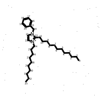 CCCCCCCCCCCCc1n(Cc2ccccc2)cc[n+]1CCCCCCCCCC